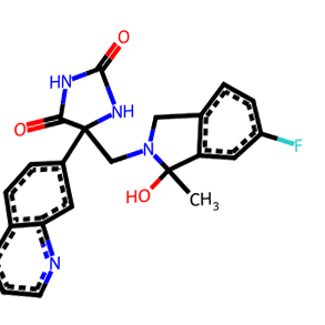 CC1(O)c2cc(F)ccc2CN1CC1(c2ccc3cccnc3c2)NC(=O)NC1=O